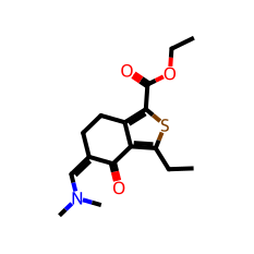 CCOC(=O)c1sc(CC)c2c1CC/C(=C/N(C)C)C2=O